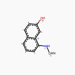 CONc1cccc2ccc(O)cc12